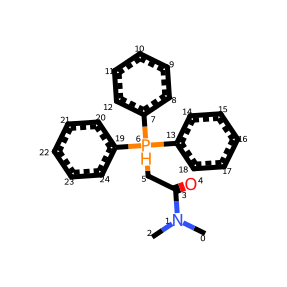 CN(C)C(=O)C[PH](c1ccccc1)(c1ccccc1)c1ccccc1